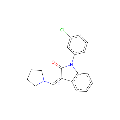 O=C1/C(=C\N2CCCC2)c2ccccc2N1c1cccc(Cl)c1